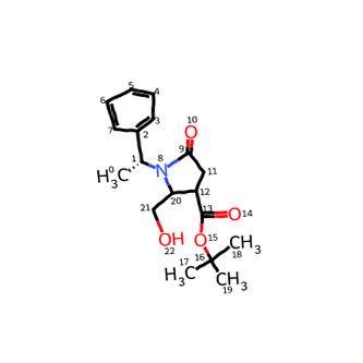 C[C@H](c1ccccc1)N1C(=O)CC(C(=O)OC(C)(C)C)C1CO